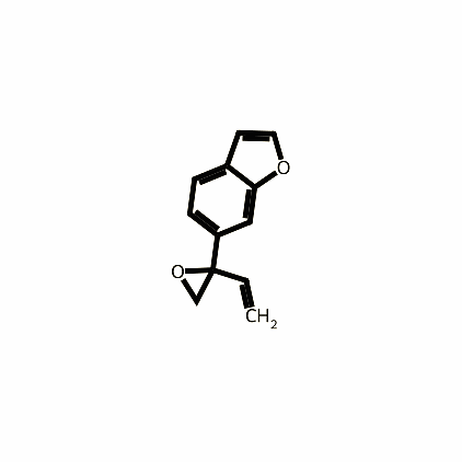 C=CC1(c2ccc3ccoc3c2)CO1